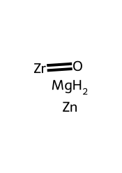 [MgH2].[O]=[Zr].[Zn]